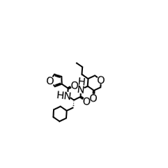 CCCC1COCC(=O)C1NC(=O)[C@H](CC1CCCCC1)NC(=O)c1ccoc1